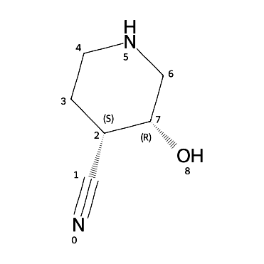 N#C[C@@H]1CCNC[C@@H]1O